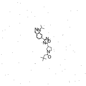 CC(C)n1ncc2ccc(-c3noc(C4CCN(C(=O)CC(C)(C)C)C4)n3)cc21